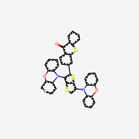 O=c1c2ccccc2sc2cc(-c3sc4c(N5c6ccccc6Oc6ccccc65)csc4c3N3c4ccccc4Oc4ccccc43)ccc12